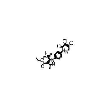 CCOC(=O)c1c(C)nn(-c2ccc(-n3ncc(Cl)c(Cl)c3=O)cc2)c1C(F)(F)F